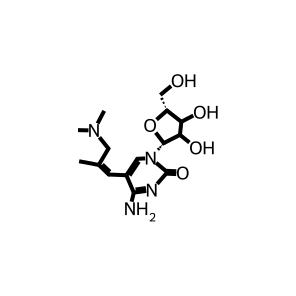 CC(=Cc1cn([C@@H]2O[C@H](CO)C(O)C2O)c(=O)nc1N)CN(C)C